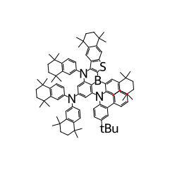 CC(C)(C)c1ccc(N2c3cc4c(cc3B3c5sc6cc7c(cc6c5N(c5ccc6c(c5)C(C)(C)CCC6(C)C)c5cc(N(c6ccc8c(c6)C(C)(C)CCC8(C)C)c6ccc8c(c6)C(C)(C)CCC8(C)C)cc2c53)C(C)(C)CCC7(C)C)C(C)(C)CCC4(C)C)c(-c2ccccc2)c1